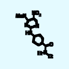 CCN(CC)C(=O)c1ccc(Nc2ncc([N+](=O)[O-])c(NC)n2)cc1